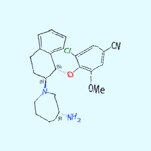 COc1cc(C#N)cc(Cl)c1O[C@H]1c2ccccc2CC[C@@H]1N1CCC[C@@H](N)C1